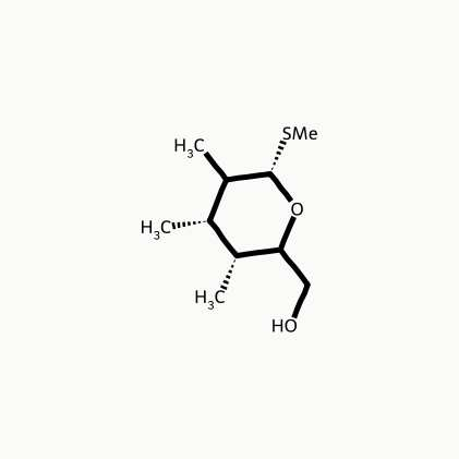 CS[C@@H]1OC(CO)[C@H](C)[C@H](C)C1C